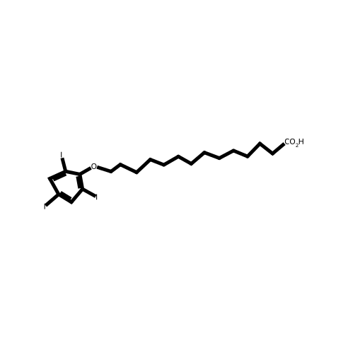 O=C(O)CCCCCCCCCCCCCOc1c(I)cc(I)cc1I